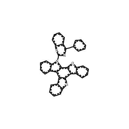 c1ccc(-c2nc(-n3c4ccccc4c4c5c6ccccc6sc5c5c6ccccc6oc5c43)nc3ccccc23)cc1